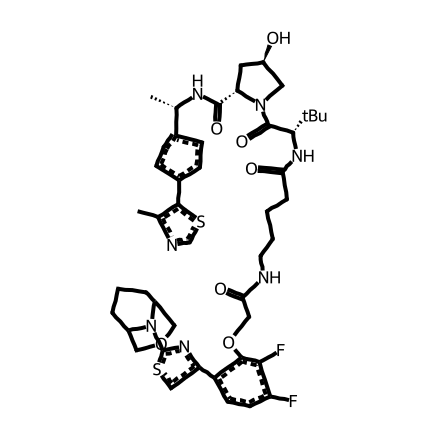 Cc1ncsc1-c1ccc([C@H](C)NC(=O)[C@@H]2C[C@@H](O)CN2C(=O)[C@@H](NC(=O)CCCCNC(=O)COc2c(-c3csc(N4C5CCCC4COC5)n3)ccc(F)c2F)C(C)(C)C)cc1